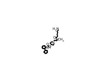 CN(CCN1CCC(OC(=O)Nc2ccccc2-c2ccccc2)CC1)C(=O)CCCCCN